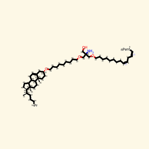 CCCCC/C=C\C/C=C\CCCCCCCCOCC(N)(CO)COCCCCCCCCCO[C@H]1CC[C@@]2(C)C(=CCC3C2CC[C@@]2(C)C3CC[C@@H]2[C@H](C)CCCC(C)C)C1